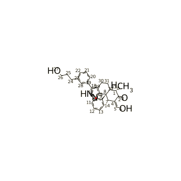 C[C@@H]1C(=O)C(=CO)C[C@]2(c3ccccc3)c3n[nH]c(-c4cccc(CCCO)c4)c3CC[C@@H]12